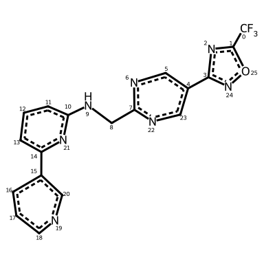 FC(F)(F)c1nc(-c2cnc(CNc3cccc(-c4cccnc4)n3)nc2)no1